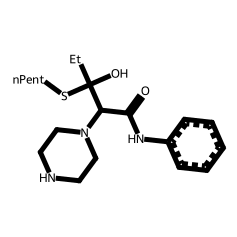 CCCCCSC(O)(CC)C(C(=O)Nc1ccccc1)N1CCNCC1